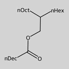 CCCCCCCCCCC(=O)OCC(CCCCCC)CCCCCCCC